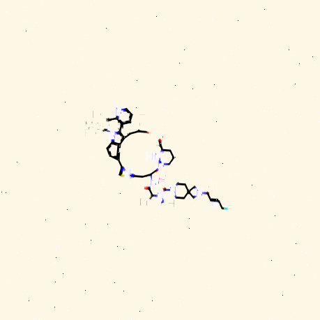 CO[C@@H](C)c1ncccc1-c1c2c3cc(ccc3n1CC(F)(F)F)-c1csc(n1)C[C@H](NC(=O)C(C(C)C)N(C)C(=O)N1CCC3(CC1)CN(C(=O)/C=C/CF)C3)C(=O)N1CCC[C@H](N1)C(=O)OCC(C)(C)C2